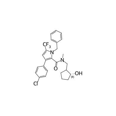 CN(CC1CCC[C@H]1O)C(=O)c1c(-c2ccc(Cl)cc2)cc(C(F)(F)F)n1Cc1ccccc1